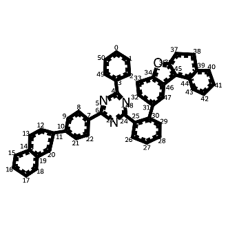 c1ccc(-c2nc(-c3ccc(-c4ccc5ccccc5c4)cc3)nc(-c3ccccc3-c3ccc4oc5ccc6ccccc6c5c4c3)n2)cc1